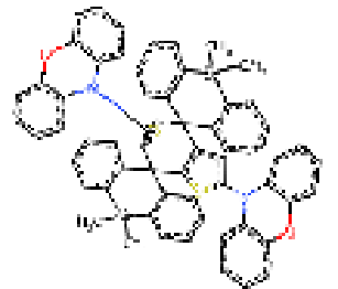 C[Si]1(C)c2ccccc2C2(c3ccccc31)c1cc(N3c4ccccc4Oc4ccccc43)sc1C1(c3ccccc3[Si](C)(C)c3ccccc31)c1cc(N3c4ccccc4Oc4ccccc43)sc12